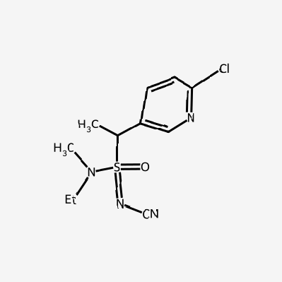 CCN(C)S(=O)(=NC#N)C(C)c1ccc(Cl)nc1